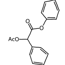 CC(=O)OC(C(=O)Oc1ccccc1)c1ccccc1